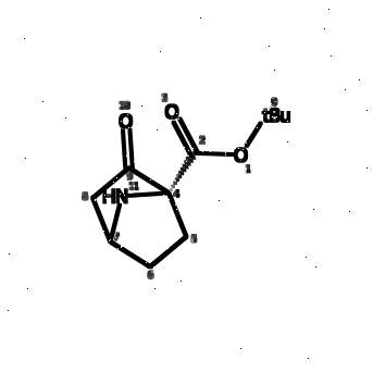 CC(C)(C)OC(=O)[C@@]12CCC(CC1=O)N2